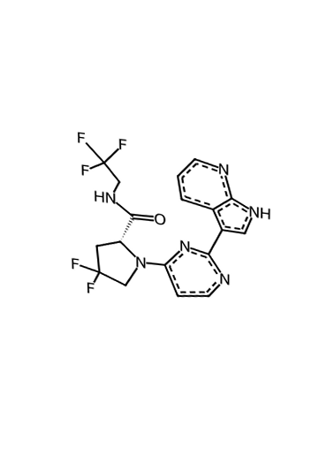 O=C(NCC(F)(F)F)[C@H]1CC(F)(F)CN1c1ccnc(-c2c[nH]c3ncccc23)n1